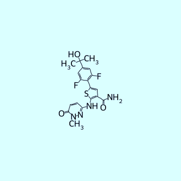 Cn1nc(Nc2sc(-c3c(F)cc(C(C)(C)O)cc3F)cc2C(N)=O)ccc1=O